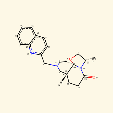 CC(C)[C@H]1CO[C@]23CCN(Cc4ccc5ccccc5n4)C[C@H]2CCC(=O)N13